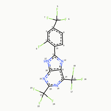 Fc1cc(C(F)(F)F)ccc1-c1nc2c(C(F)(F)F)nc(C(F)(F)F)nc2[nH]1